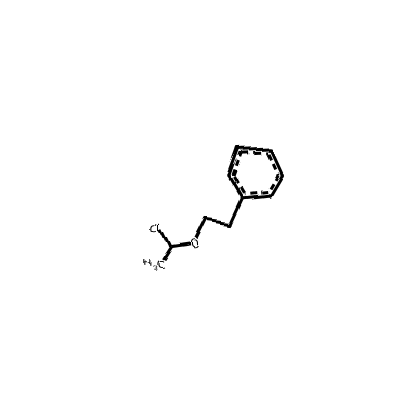 CC(Cl)OCCc1ccccc1